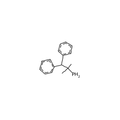 CC(C)(P)C(c1ccccc1)c1ccccc1